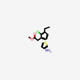 CCc1cccc(CC(=O)OC)c1Cl.N.c1ccsc1